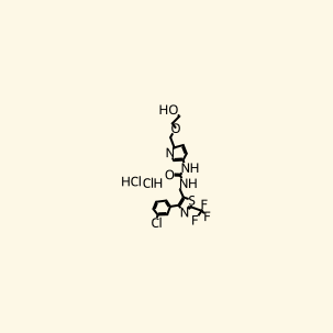 Cl.Cl.O=C(NCc1sc(C(F)(F)F)nc1-c1cccc(Cl)c1)Nc1ccc(COCCO)nc1